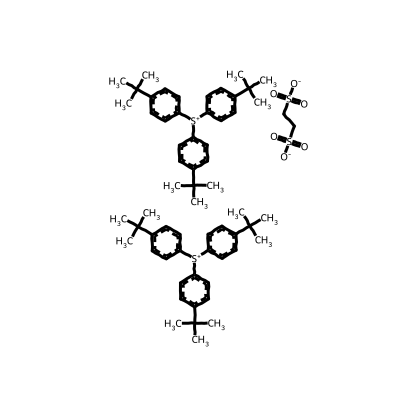 CC(C)(C)c1ccc([S+](c2ccc(C(C)(C)C)cc2)c2ccc(C(C)(C)C)cc2)cc1.CC(C)(C)c1ccc([S+](c2ccc(C(C)(C)C)cc2)c2ccc(C(C)(C)C)cc2)cc1.O=S(=O)([O-])CCS(=O)(=O)[O-]